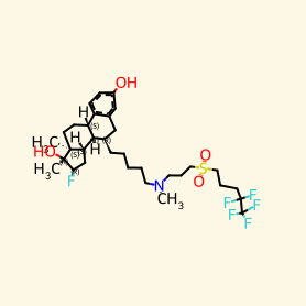 CN(CCCCC[C@@H]1Cc2cc(O)ccc2[C@H]2CC[C@@]3(C)[C@@H](C[C@@H](F)[C@]3(C)O)[C@H]12)CCCS(=O)(=O)CCCC(F)(F)C(F)(F)F